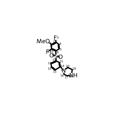 COc1c(F)ccc(S(=O)(=O)c2cccc(N3CCNCC3)c2)c1F